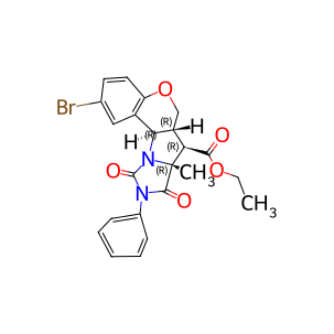 CCOC(=O)[C@@H]1[C@H]2COc3ccc(Br)cc3[C@@H]2N2C(=O)N(c3ccccc3)C(=O)[C@@]12C